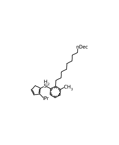 CCCCCCCCCCCCCCCCCCc1c(C)cccc1[SiH2]C1=C(C(C)C)C=CC1